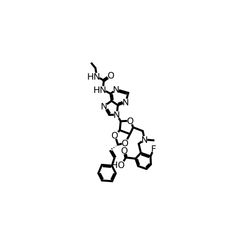 CCNC(=O)Nc1ncnc2c1ncn2C1OC(CN(C)Cc2c(F)cccc2C(=O)O)C2O[C@H](/C=C/c3ccccc3)OC21